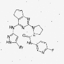 CC(C)c1cc(Nc2nc(N3CCC[C@@H]3C(=O)Nc3ccc(F)nc3)nc3c2CC=C3)n[nH]1